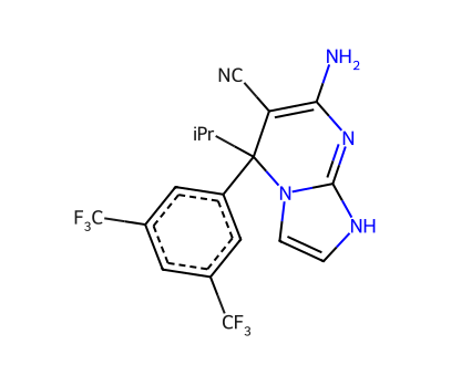 CC(C)C1(c2cc(C(F)(F)F)cc(C(F)(F)F)c2)C(C#N)=C(N)N=C2NC=CN21